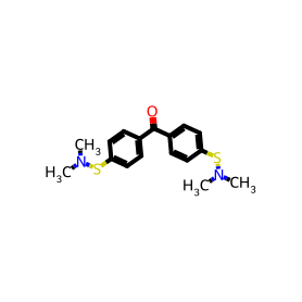 CN(C)Sc1ccc(C(=O)c2ccc(SN(C)C)cc2)cc1